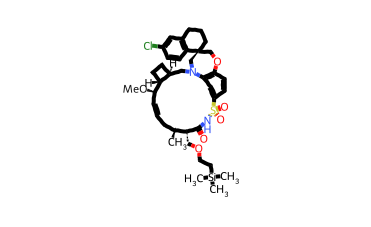 CO[C@@H]1C=CC[C@H](C)[C@@H](COCC[Si](C)(C)C)C(=O)NS(=O)(=O)c2ccc3c(c2)N(C[C@@H]2CC[C@H]21)C[C@@]1(CCCc2cc(Cl)ccc21)CO3